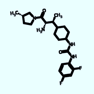 C[C@H]1CCN(C(=O)[C@@H](N)[C@@H](C)C2CCC(NC(=O)Nc3ccc(F)cc3F)CC2)C1